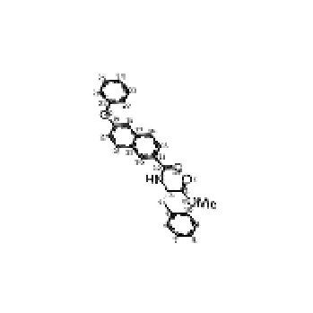 COC(=O)[C@H](Cc1ccccc1)NC(=O)c1ccc2cc(Oc3ccccc3)ccc2c1